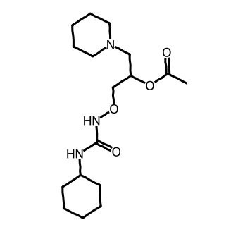 CC(=O)OC(CONC(=O)NC1CCCCC1)CN1CCCCC1